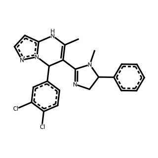 CC1=C(C2=NCC(c3ccccc3)N2C)C(c2ccc(Cl)c(Cl)c2)n2nccc2N1